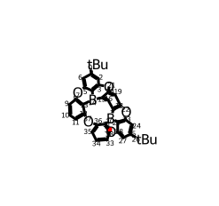 CC(C)(C)c1cc2c3c(c1)Oc1cccc4c1B3c1cc3c(cc1O2)Oc1cc(C(C)(C)C)cc2c1B3c1c(cccc1O4)O2